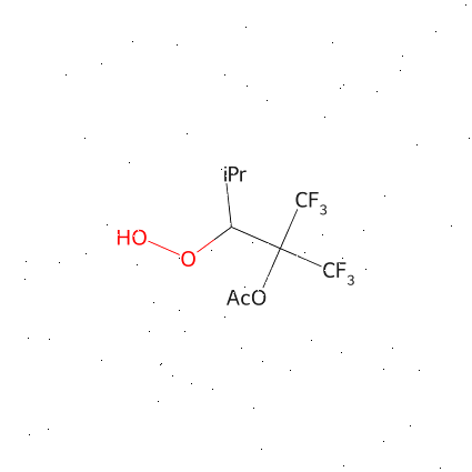 CC(=O)OC(C(OO)C(C)C)(C(F)(F)F)C(F)(F)F